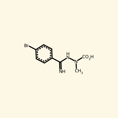 CN(NC(=N)c1ccc(Br)cc1)C(=O)O